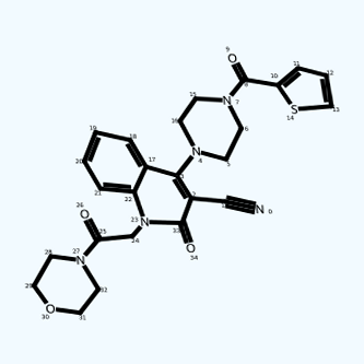 N#Cc1c(N2CCN(C(=O)c3cccs3)CC2)c2ccccc2n(CC(=O)N2CCOCC2)c1=O